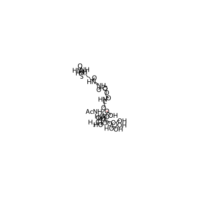 CC(=O)NC1C(OCCCNC(=O)COc2cccc(C(=O)NCCNC(=O)CCCC[C@@H]3SC[C@@H]4NC(=O)N[C@@H]43)c2)OC(CO)C(OC(OC(CO)[C@@H](C)O)[C@@H](O)COC2OC(CO)C(O)C(O)C2O)C1O